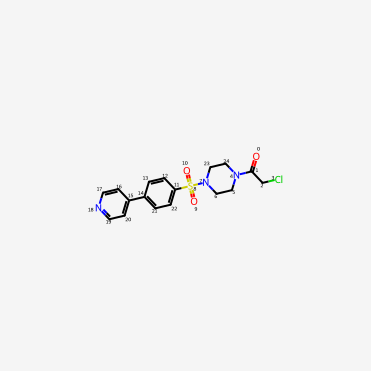 O=C(CCl)N1CCN(S(=O)(=O)c2ccc(-c3ccncc3)cc2)CC1